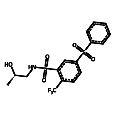 C[C@H](O)CNS(=O)(=O)c1cc(S(=O)(=O)c2ccccc2)ccc1C(F)(F)F